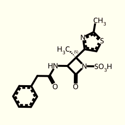 Cc1nc([C@]2(C)C(NC(=O)Cc3ccccc3)C(=O)N2S(=O)(=O)O)cs1